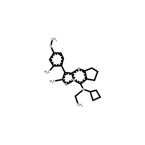 CCN(c1c2c(nc3c(-c4ccc(OC)cc4C)c(C)nn13)CCC2)C1CCC1